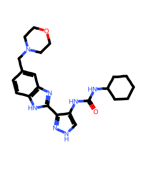 O=C(Nc1c[nH]nc1-c1nc2cc(CN3CCOCC3)ccc2[nH]1)NC1CCCCC1